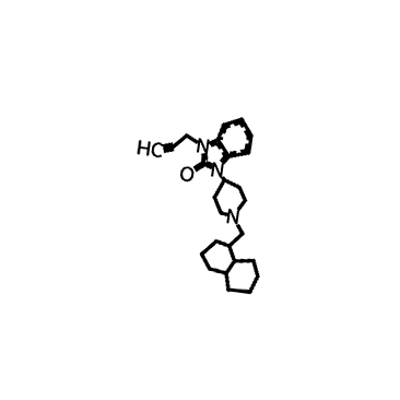 C#CCn1c(=O)n(C2CCN(CC3CCCC4CCCCC43)CC2)c2ccccc21